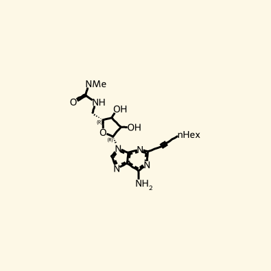 CCCCCCC#Cc1nc(N)c2ncn([C@@H]3O[C@H](CNC(=O)NC)C(O)C3O)c2n1